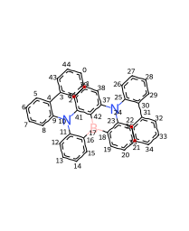 c1ccc(-c2ccccc2N2c3ccccc3B3c4ccccc4N(c4ccccc4-c4ccccc4)c4cccc2c43)cc1